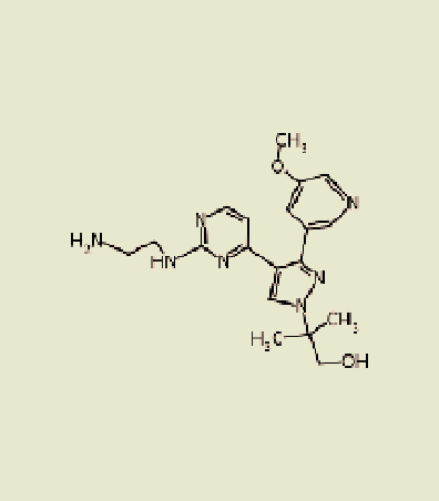 COc1cncc(-c2nn(C(C)(C)CO)cc2-c2ccnc(NCCN)n2)c1